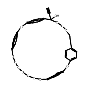 C#CC1(O)CCCCc2ccc(cc2)Oc2ccc(cc2)OCCOCCOc2ccc(cc2)Oc2ccc1cc2